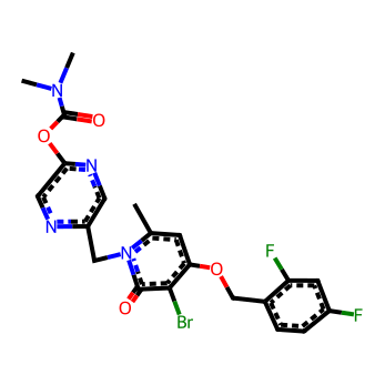 Cc1cc(OCc2ccc(F)cc2F)c(Br)c(=O)n1Cc1cnc(OC(=O)N(C)C)cn1